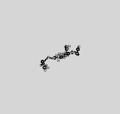 CN(CCCCc1cccc2c1CN(C1CCC(=O)NC1=O)C2=O)CCCN1CCC(CNc2ccc(S(=O)(=O)NC(=O)c3ccc(N4CCN(CC5=C(c6ccc(Cl)cc6)CC(C)(C)CC5)CC4)cc3Oc3cnc4[nH]ccc4c3)cc2NO)CC1